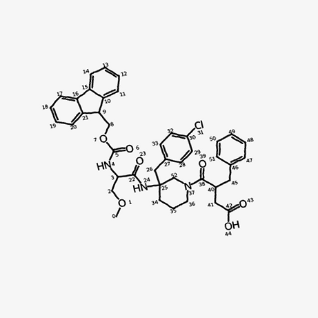 COCC(NC(=O)OCC1c2ccccc2-c2ccccc21)C(=O)NC1(Cc2ccc(Cl)cc2)CCCN(C(=O)C(CC(=O)O)Cc2ccccc2)C1